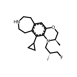 C[C@@H](CF)CN1c2c(cc3c(c2C2CC2)CCNCC3)OC[C@H]1C